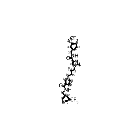 O=C(NCc1cncc(C(F)(F)F)c1)c1cn(CCC(F)Cn2cc(C(=O)NCc3cccc(OC(F)(F)F)c3)nn2)nn1